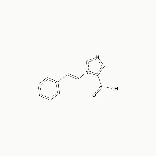 O=C(O)c1cncn1C=Cc1ccccc1